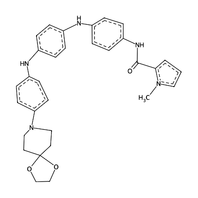 Cn1cccc1C(=O)Nc1ccc(Nc2ccc(Nc3ccc(N4CCC5(CC4)OCCO5)cc3)cc2)cc1